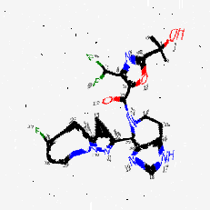 CC(C)(O)c1nc(C(F)F)c(C(=O)N2CCc3[nH]cnc3C2c2cc3cc(F)ccn3n2)o1